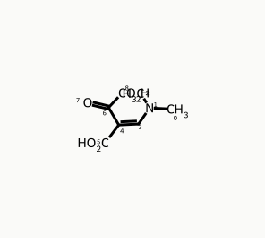 CN(C)C=C(C(=O)O)C(=O)C(=O)O